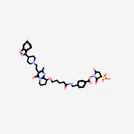 Cc1nc2n(c(=O)c1CCN1CCC(c3noc4cc(F)ccc34)CC1)CCCC2OCCCCC(=O)NCc1ccc(C(=O)ON2C(=O)CC(S(=O)(=O)O)C2=O)cc1